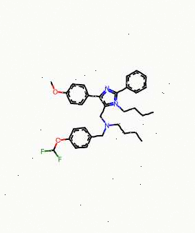 CCCCN(Cc1ccc(OC(F)F)cc1)Cc1c(-c2ccc(OC)cc2)nc(-c2ccccc2)n1CCCC